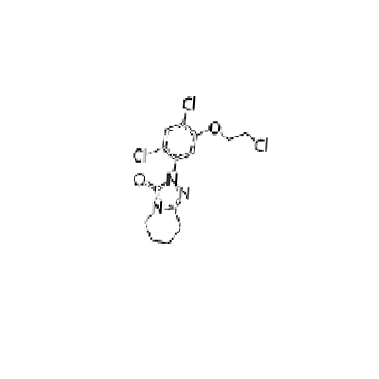 O=c1n(-c2cc(OCCCl)c(Cl)cc2Cl)nc2n1CCCC2